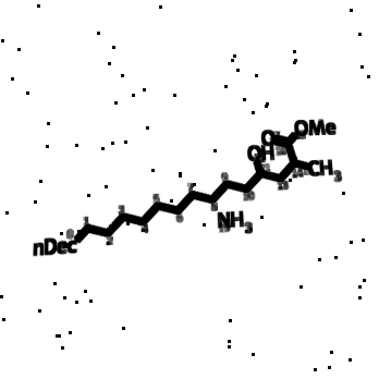 CCCCCCCCCCCCCCCCCCCCC(O)CC(C)C(=O)OC.N